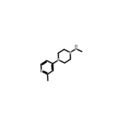 CNN1CCN(c2ccnc(C)c2)CC1